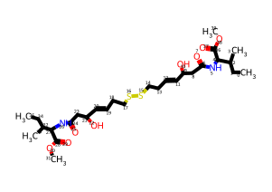 CCC(C)C(NC(=O)CC(O)/C=C/CCSSCC/C=C/C(O)CC(=O)NC(C(=O)OC)C(C)CC)C(=O)OC